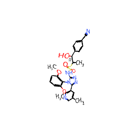 COc1cccc(OC)c1-n1c(NS(=O)(=O)C(C)[C@@H](O)c2ccc(C#N)cc2)nnc1-c1cncc(C)c1